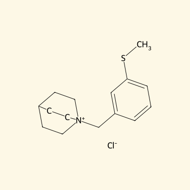 CSc1cccc(C[N+]23CCC(CC2)CC3)c1.[Cl-]